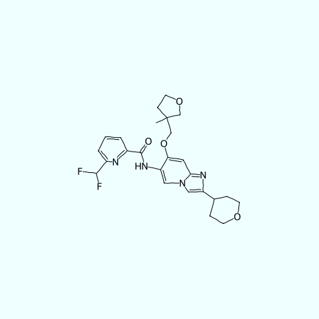 CC1(COc2cc3nc(C4CCOCC4)cn3cc2NC(=O)c2cccc(C(F)F)n2)CCOC1